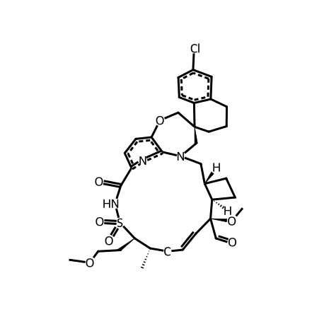 COCC[C@@H]1[C@@H](C)C/C=C/[C@](C=O)(OC)[C@@H]2CC[C@H]2CN2C[C@@]3(CCCc4cc(Cl)ccc43)COc3ccc(nc32)C(=O)NS1(=O)=O